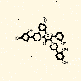 COc1cccc([C@@H](O)C(C(=O)C([C@H](O)c2cccc(OC)c2)N2CCC(c3ccc(O)cc3O)CC2)N2CCC(c3ccc(O)cc3O)CC2)c1